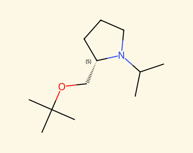 CC(C)N1CCC[C@H]1COC(C)(C)C